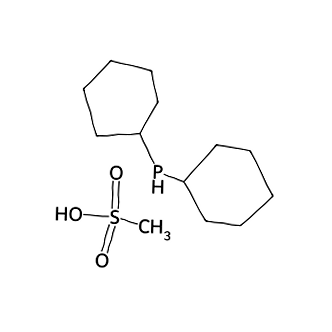 C1CCC(PC2CCCCC2)CC1.CS(=O)(=O)O